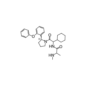 CNC(C)C(=O)NC(C(=O)N1CCC[C@H]1c1ccccc1Oc1ccccc1)C1CCCCC1